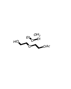 CC(=O)OCCOCCO.CCOCC.O